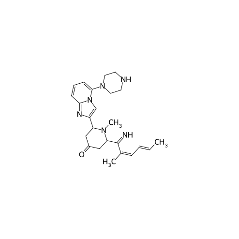 C/C=C/C=C(/C)C(=N)C1CC(=O)CC(c2cn3c(N4CCNCC4)cccc3n2)N1C